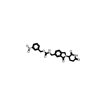 O=C1CCC(N2Cc3ccc(CNC(=O)OCc4cccc([N+](=O)[O-])c4)cc3C2=O)C(=O)N1